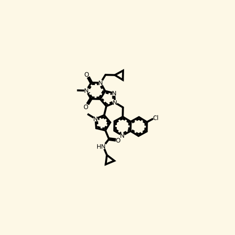 Cn1cc(C(=O)NC2CC2)cc1-c1c2c(=O)n(C)c(=O)n(CC3CC3)c2nn1Cc1ccnc2ccc(Cl)cc12